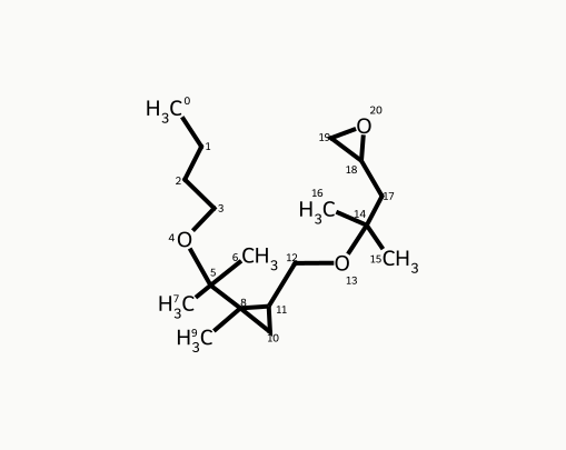 CCCCOC(C)(C)C1(C)CC1COC(C)(C)CC1CO1